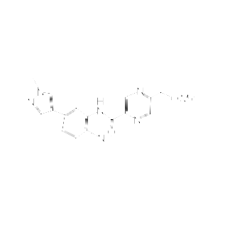 COCc1cnc(C(=O)Nc2cc(-c3cnn(C)c3)ccc2N)cn1